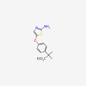 CCOC(=O)C(C)(C)c1ccc(Oc2cnc(N)s2)cc1